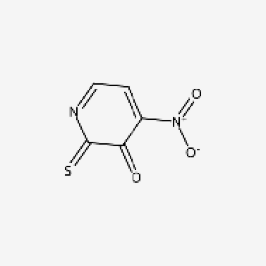 O=C1C(=S)N=CC=C1[N+](=O)[O-]